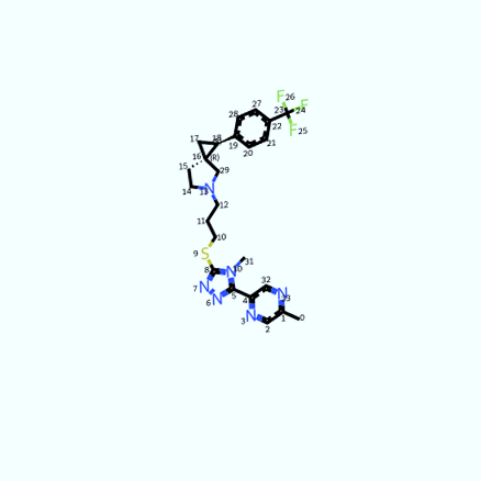 Cc1cnc(-c2nnc(SCCCN3CC[C@@]4(C[C@H]4c4ccc(C(F)(F)F)cc4)C3)n2C)cn1